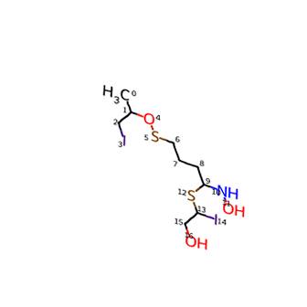 CC(CI)OSCCCC(NO)SC(I)CO